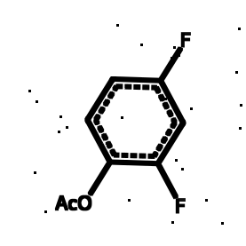 CC(=O)Oc1ccc(F)cc1F